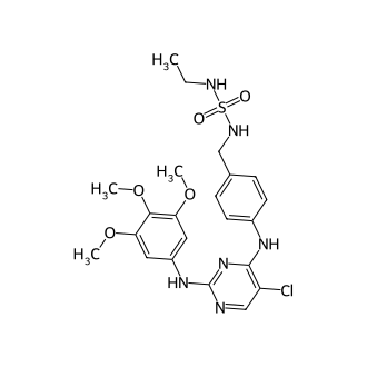 CCNS(=O)(=O)NCc1ccc(Nc2nc(Nc3cc(OC)c(OC)c(OC)c3)ncc2Cl)cc1